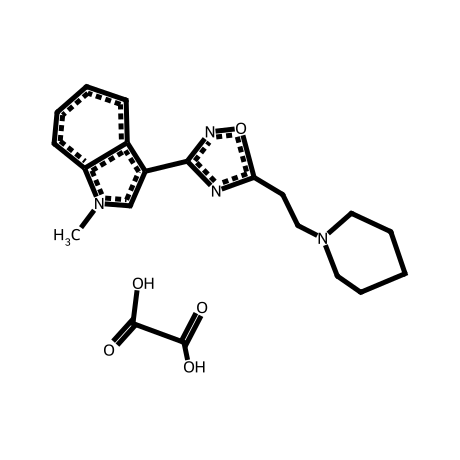 Cn1cc(-c2noc(CCN3CCCCC3)n2)c2ccccc21.O=C(O)C(=O)O